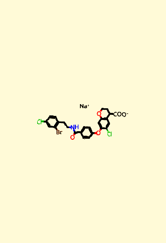 O=C(NCCc1ccc(Cl)cc1Br)c1ccc(Oc2cc3c(cc2Cl)C(C(=O)[O-])CCO3)cc1.[Na+]